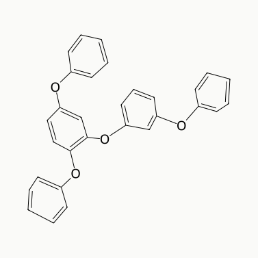 c1ccc(Oc2cccc(Oc3cc(Oc4ccccc4)ccc3Oc3ccccc3)c2)cc1